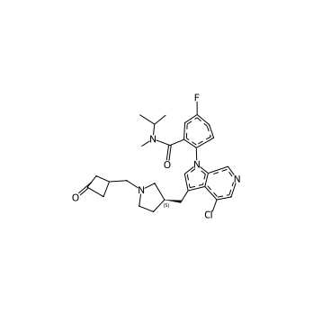 CC(C)N(C)C(=O)c1cc(F)ccc1-n1cc(C[C@H]2CCN(CC3CC(=O)C3)C2)c2c(Cl)cncc21